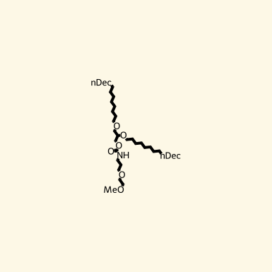 CCCCCCCCCCCCCCCCCCOCC(COC(=O)NCCCOCCOC)OCCCCCCCCCCCCCCCCCC